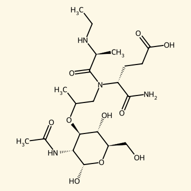 CCN[C@@H](C)C(=O)N(CC(C)O[C@H]1[C@H](O)[C@@H](CO)O[C@H](O)[C@@H]1NC(C)=O)[C@H](CCC(=O)O)C(N)=O